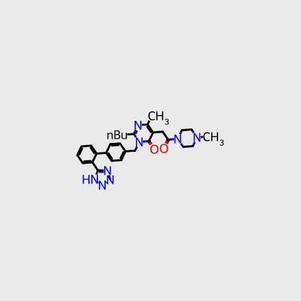 CCCCc1nc(C)c(CC(=O)N2CCN(C)CC2)c(=O)n1Cc1ccc(-c2ccccc2-c2nnn[nH]2)cc1